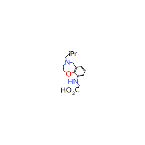 CC(C)CN1CCOc2c(cccc2NCC(=O)O)C1